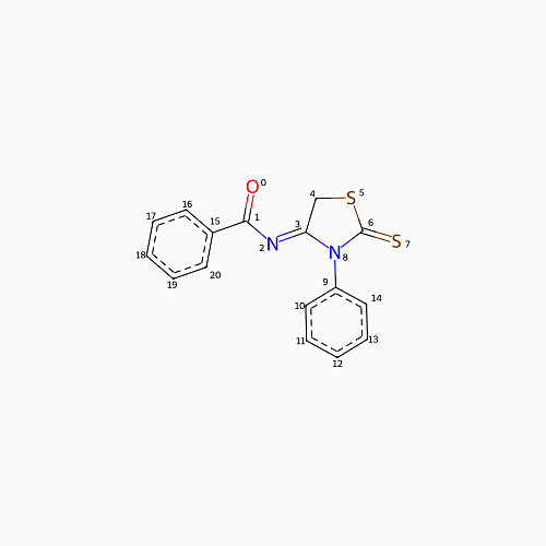 O=C(N=C1CSC(=S)N1c1ccccc1)c1ccccc1